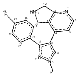 Cn1cc(-c2ccnc3c2CNC3)c(-c2ccc(F)cn2)n1